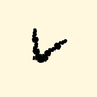 CCCCC[C@H]1CC[C@H](/C=C/COc2ccc(C(=O)O[C@@H](C(=O)O)[C@@H](OC(=O)c3ccc(OC/C=C/[C@H]4CC[C@H](CCCCC)CC4)cc3)C(=O)O)cc2)CC1